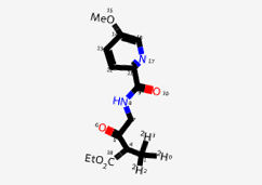 [2H]C([2H])([2H])C(C(=O)CNC(=O)c1ccc(OC)cn1)C(=O)OCC